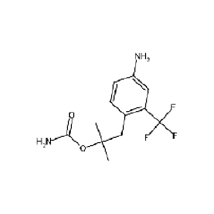 CC(C)(Cc1ccc(N)cc1C(F)(F)F)OC(N)=O